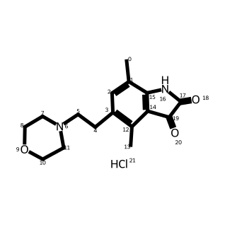 Cc1cc(CCN2CCOCC2)c(C)c2c1NC(=O)C2=O.Cl